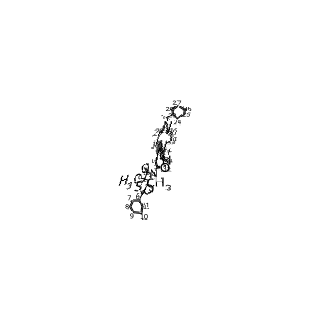 CC(C)(SC(=O)c1ccccc1)C(=O)[N-]c1c[n+](N2CCN(Cc3ccccc3)CC2)no1